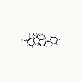 CC1(C)c2cc(F)ccc2-c2ccc(-c3ccccc3)cc21